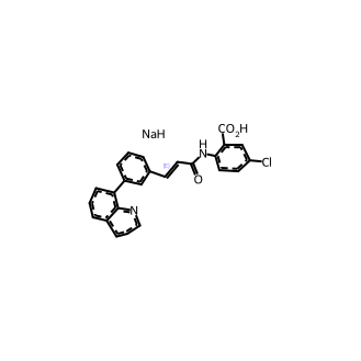 O=C(/C=C/c1cccc(-c2cccc3cccnc23)c1)Nc1ccc(Cl)cc1C(=O)O.[NaH]